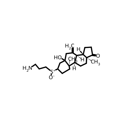 C=C1CC2(O)CC([S+]([O-])CCCN)CC[C@]2(C)[C@@H]2CC[C@]3(C)C(=O)CC[C@H]3[C@H]12